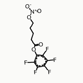 O=C(CCCCO[N+](=O)[O-])Oc1c(F)c(F)c(F)c(F)c1F